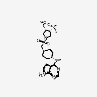 CN(c1ncnc2[nH]ccc12)[C@H]1CC[C@H](CS(=O)(=O)N2C[C@H](CO)[C@H](S(C)(=O)=O)C2)CC1